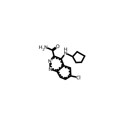 NC(=O)c1nnc2ccc(Cl)cc2c1NC1CCCC1